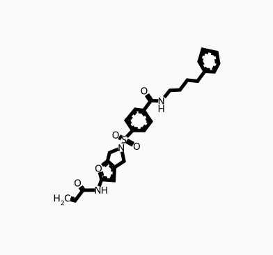 C=CC(=O)Nc1cc2c(o1)CN(S(=O)(=O)c1ccc(C(=O)NCCCCc3ccccc3)cc1)C2